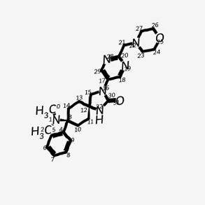 CN(C)[C@]1(c2ccccc2)CC[C@@]2(CC1)CN(c1cnc(CN3CCOCC3)nc1)C(=O)N2